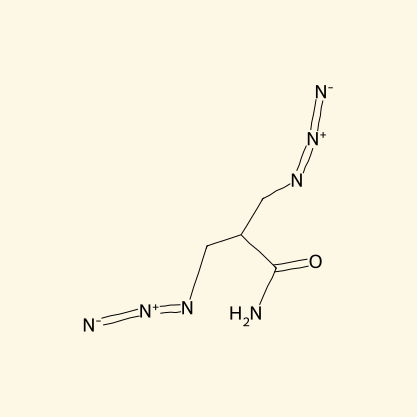 [N-]=[N+]=NCC(CN=[N+]=[N-])C(N)=O